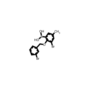 Cc1cc(Br)c(OCc2cccc(Br)c2)c(B(O)O)c1